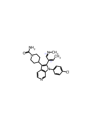 C/C=C(\C=N/C)c1c(C2CCN(C(N)=O)CC2)c2ccncc2n1-c1ccc(Cl)cc1